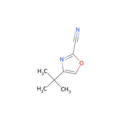 CC(C)(C)c1coc(C#N)n1